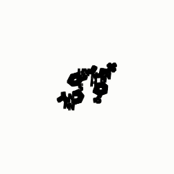 C=C(NCc1ccccc1Sc1ccc2nnc(C(C)C)n2c1)Nc1cc(C(C)(C)C)nn1-c1ccc(SC)cc1